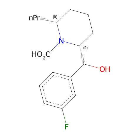 CCC[C@@H]1CCC[C@H](C(O)c2cccc(F)c2)N1C(=O)O